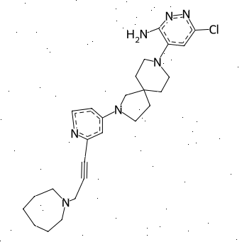 Nc1nnc(Cl)cc1N1CCC2(CCN(c3ccnc(C#CCN4CCCCCC4)c3)C2)CC1